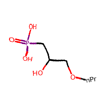 [CH2]CCOCC(O)CP(=O)(O)O